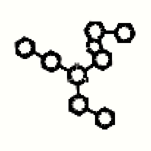 c1ccc(-c2ccc(-c3nc(-c4cccc(-c5ccccc5)c4)nc(-c4cccc5c4sc4cccc(-c6ccccc6)c45)n3)cc2)cc1